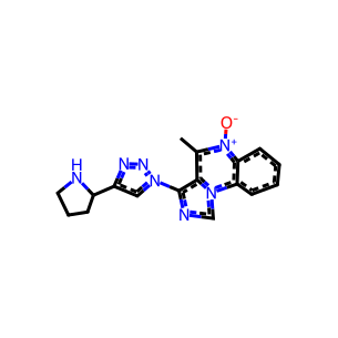 Cc1c2c(-n3cc(C4CCCN4)nn3)ncn2c2ccccc2[n+]1[O-]